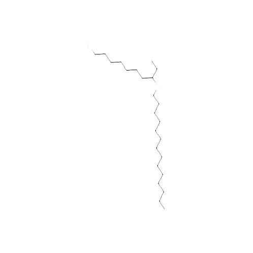 CCCCCCCCCCCCCCOC(CC)CCCCCCCF